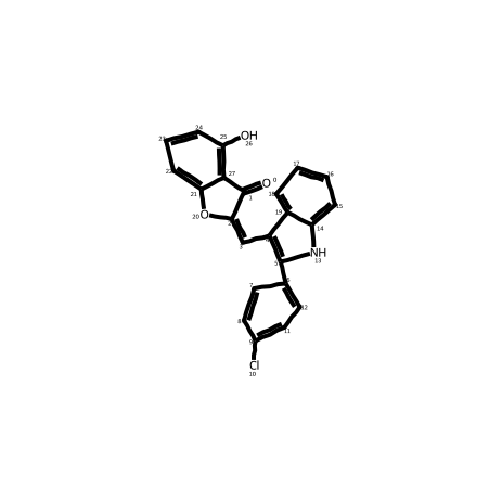 O=C1C(=Cc2c(-c3ccc(Cl)cc3)[nH]c3ccccc23)Oc2cccc(O)c21